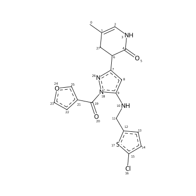 CC1=CNC(=O)C(c2cc(NCc3ccc(Cl)s3)n(C(=O)c3ccoc3)n2)C1